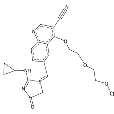 COCCOCCOc1c(C#N)cnc2ccc(/C=S3/CC(=O)N=C3NC3CC3)cc12